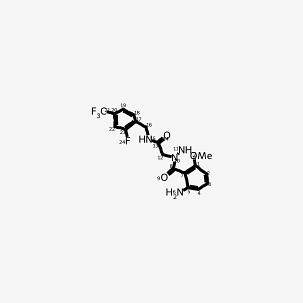 COc1cccc(N)c1C(=O)N(N)CC(=O)NCc1ccc(C(F)(F)F)cc1F